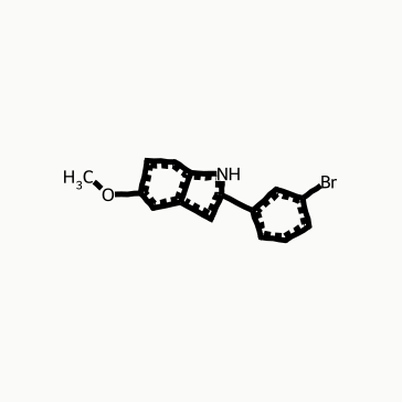 COc1ccc2[nH]c(-c3cccc(Br)c3)cc2c1